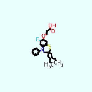 CCCCC1(CCCC)CSc2cc(O/C=C/C(=O)O)c(F)cc2N(c2ccccc2)C1